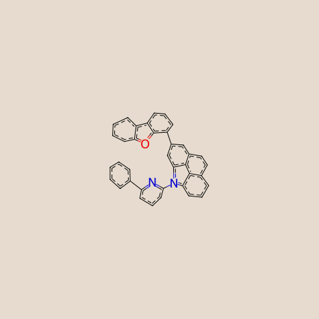 c1ccc(-c2cccc(-n3c4cccc5ccc6cc(-c7cccc8c7oc7ccccc78)cc3c6c54)n2)cc1